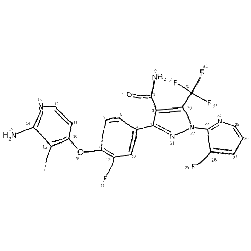 NC(=O)c1c(-c2ccc(Oc3ccnc(N)c3I)c(F)c2)nn(-c2ncccc2F)c1C(F)(F)F